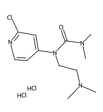 CN(C)CCN(C(=O)N(C)C)c1ccnc(Cl)c1.Cl.Cl